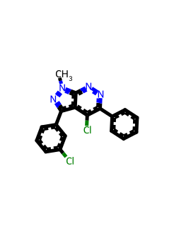 Cn1nc(-c2cccc(Cl)c2)c2c(Cl)c(-c3ccccc3)nnc21